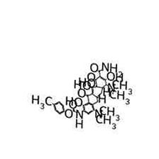 Cc1ccc(OC(=O)Nc2cc(N(C)C)c3c(c2O)C(=O)C2=C(O)[C@]4(O)C(=O)C(C(N)=O)=C(O)[C@@H](N(C)C)[C@@H]4C[C@@H]2C3)cc1